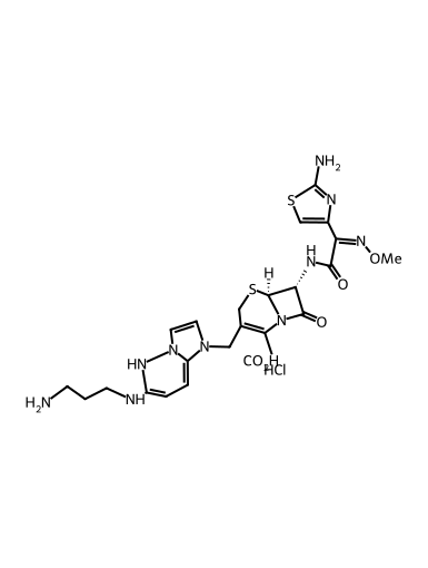 CO/N=C(\C(=O)N[C@@H]1C(=O)N2C(C(=O)O)=C(CN3C=CN4NC(NCCCN)=CC=C34)CS[C@@H]12)c1csc(N)n1.Cl